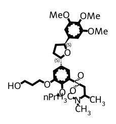 CCCOc1c(OCCCO)cc([C@@H]2CC[C@@H](c3cc(OC)c(OC)c(OC)c3)O2)cc1S(=O)(=O)CC(C)N(C)C